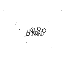 Cc1cc(C)c(N2CCCc3c2nn(C)c3C(=O)C2[N]CCc3ccccc32)c(C)c1